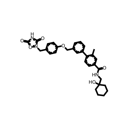 Cc1cc(C(=O)NCC2(O)CCCCC2)ccc1-c1cccc(COc2ccc(Cn3oc(=O)[nH]c3=O)cc2)c1